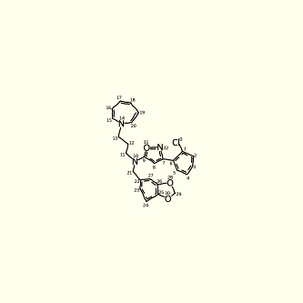 Clc1ccccc1-c1cc(N(CCCN2C=CC=CC=C2)Cc2ccc3c(c2)OCO3)on1